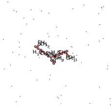 CCCCCCC1(CCCCCC)c2ccccc2-c2ccc(-c3ccc4c(c3)C(C)(C)c3cc(-c5ccc6c(c5)C(C)(C)c5cc(-c7cc(-c8cccc(-c9nccc%10ccccc9%10)c8)cc(-c8ccc9c(c8)C(C)(C)c8cc(-c%10ccc%11c(c%10)C(C)(C)c%10cc(-c%12ccc%13c(c%12)C(CCCCCC)(CCCCCC)c%12ccccc%12-%13)ccc%10-%11)ccc8-9)c7)ccc5-6)ccc3-4)cc21